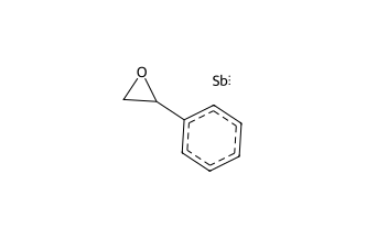 [Sb].c1ccc(C2CO2)cc1